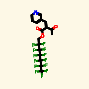 CC(=O)C(=Cc1cccnc1)C(=O)OCC(F)(F)C(F)(F)C(F)(F)C(F)(F)C(F)(F)C(F)(F)F